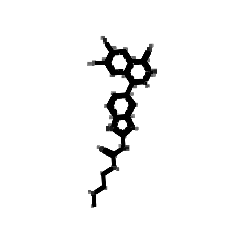 COCCOC(=O)Nc1nc2cc(-c3n[nH]c(=O)c4cc(F)c(F)cc34)ccc2[nH]1